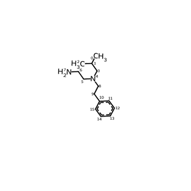 CC(C)CN(CCN)CCc1ccccc1